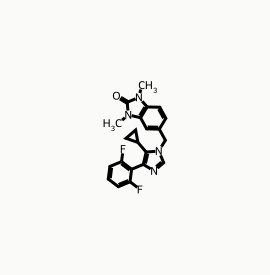 Cn1c(=O)n(C)c2cc(Cn3cnc(-c4c(F)cccc4F)c3C3CC3)ccc21